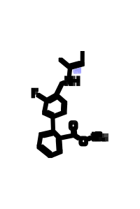 C/C=C(\C)NCc1ccc(-c2ccccc2C(=O)OC(C)(C)C)cc1F